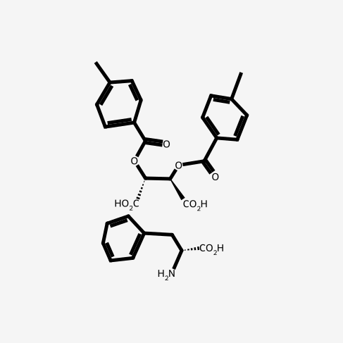 Cc1ccc(C(=O)O[C@@H](C(=O)O)[C@@H](OC(=O)c2ccc(C)cc2)C(=O)O)cc1.N[C@H](Cc1ccccc1)C(=O)O